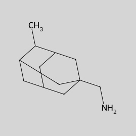 CC1C2CC3CC1CC(CN)(C3)C2